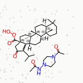 CC(=O)NN1CCN(C(C)=O)CC1.CC(C)C1=C2[C@H]3CC[C@@H]4[C@@]5(C)CCCC(C)(C)[C@@H]5CC[C@@]4(C)[C@]3(C)CC[C@@]2(C(=O)OO)CC1=O